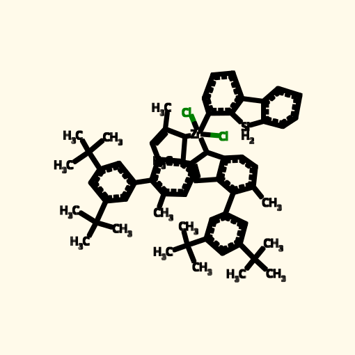 CC1=Cc2c(ccc(C)c2-c2cc(C(C)(C)C)cc(C(C)(C)C)c2)[CH]1[Zr]([Cl])([Cl])([c]1cccc2c1[SiH2]c1ccccc1-2)[CH]1C(C)=Cc2c1ccc(C)c2-c1cc(C(C)(C)C)cc(C(C)(C)C)c1